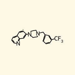 FC(F)(F)c1cccc(CN2CCN(c3[c]cc4cccnc4c3)CC2)c1